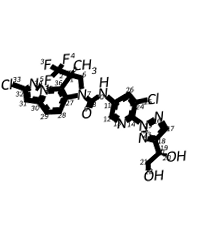 C[C@@]1(C(F)(F)F)CN(C(=O)Nc2cnc(-n3ncc([C@@H](O)CO)n3)c(Cl)c2)c2ccc3cc(Cl)nn3c21